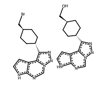 BrC[C@H]1CC[C@H](c2nnn3cnc4[nH]ccc4c23)CC1.OC[C@H]1CC[C@H](c2nnn3cnc4[nH]ccc4c23)CC1